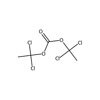 CC(Cl)(Cl)OC(=O)OC(C)(Cl)Cl